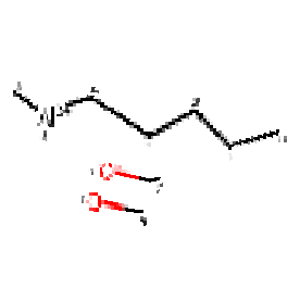 CCCC[CH2][Al+2][CH3].C[O-].C[O-]